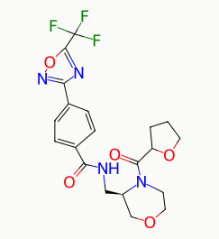 O=C(NC[C@@H]1COCCN1C(=O)C1CCCO1)c1ccc(-c2noc(C(F)(F)F)n2)cc1